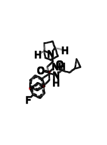 O=C(Cc1ccc(F)cc1)N[C@@H]1C[C@H]2CC[C@@H](C1)N2CC[C@H](NC(=O)CC1CC1)c1ccccc1